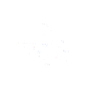 COC(=O)c1cnc(NC(=O)C2CC2)cc1Nc1cc(C)c2n1C(=O)C(CC(F)(F)F)C=C2